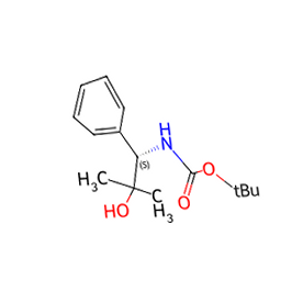 CC(C)(C)OC(=O)N[C@@H](c1ccccc1)C(C)(C)O